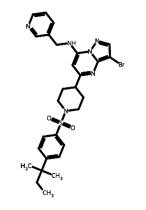 CCC(C)(C)c1ccc(S(=O)(=O)N2CCC(c3cc(NCc4cccnc4)n4ncc(Br)c4n3)CC2)cc1